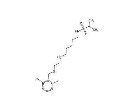 CC(C)S(=O)(=O)NCCCCCNCCSCc1c(F)cccc1Cl